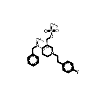 CN(Cc1ccccc1)[C@H]1CCN(CCc2ccc(F)cc2)C[C@@H]1COS(C)(=O)=O